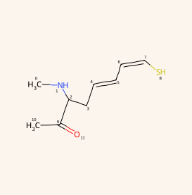 CNC(C/C=C/C=C\S)C(C)=O